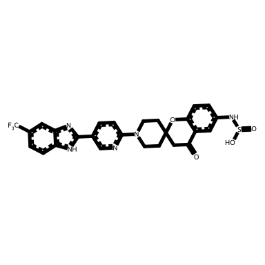 O=C1CC2(CCN(c3ccc(-c4nc5cc(C(F)(F)F)ccc5[nH]4)cn3)CC2)Oc2ccc(NS(=O)O)cc21